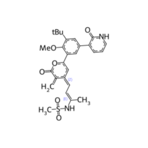 C=c1c(=O)oc(-c2cc(-c3ccc[nH]c3=O)cc(C(C)(C)C)c2OC)c/c1=C/C=C(\C)NS(C)(=O)=O